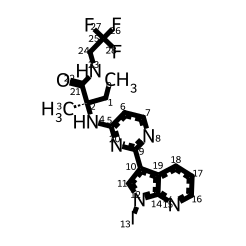 CC[C@@](C)(Nc1ccnc(-c2cn(I)c3ncccc23)n1)C(=O)NCC(F)(F)F